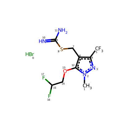 Br.Cn1nc(C(F)(F)F)c(CSC(=N)N)c1OCC(F)F